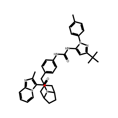 Cc1ccc(-n2nc(C(C)(C)C)cc2NC(=O)Nc2ccc(CC3CC4CCC(C3)N4C(=O)c3c(C)nc4ccccn34)cc2)cc1